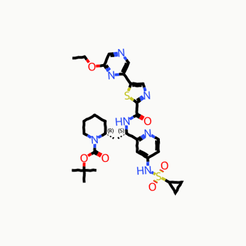 CCOc1cncc(-c2cnc(C(=O)N[C@@H](C[C@H]3CCCCN3C(=O)OC(C)(C)C)c3cc(NS(=O)(=O)C4CC4)ccn3)s2)n1